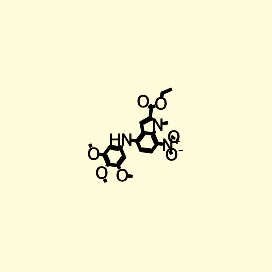 CCOC(=O)c1cc2c(Nc3cc(OC)c(OC)c(OC)c3)ccc([N+](=O)[O-])c2n1C